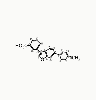 Cc1ccc(-c2ccc3c(-c4cccc(C(=O)O)c4)noc3c2)cc1